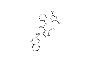 Cc1cc(C)n(-c2ccccc2NC(=O)c2c(C)nsc2Nc2cnc3ccccc3n2)n1